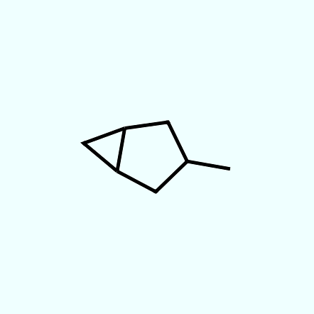 CC1CC2CC2C1